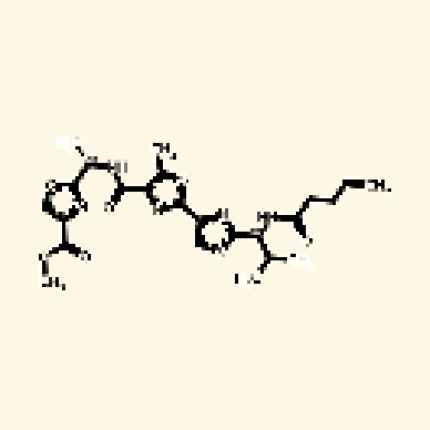 C=CCCC(=O)N[C@H](c1nc(-c2nc(C(=O)N[C@@H](C)c3nc(C(=O)OC)co3)c(C)o2)cs1)C(C)C